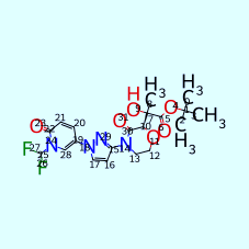 CC(C)(C)OC(=O)C(C)(O)[C@H]1OCCN(c2ccn(-c3ccc(=O)n(C(F)F)c3)n2)C1=O